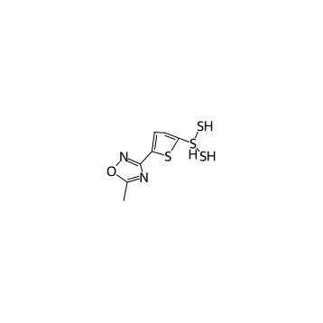 Cc1nc(-c2ccc([SH](S)S)s2)no1